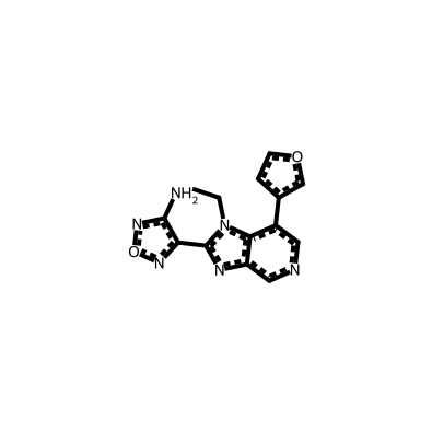 CCn1c(-c2nonc2N)nc2cncc(-c3ccoc3)c21